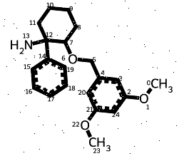 COc1cc(COC2CCCCC2(N)c2ccccc2)cc(OC)c1